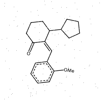 COc1ccccc1/C=C1\C(=O)CCCC1C1CCCC1